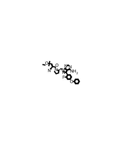 CCOC(C)(C)C=C(C#N)C(=O)N1CCC[C@@H]1Cn1nc(-c2ccc(Oc3ccccc3)cc2F)c2c(N)ncnc21